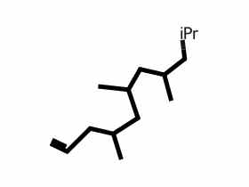 C=CCC(C)CC(C)CC(C)CC(C)C